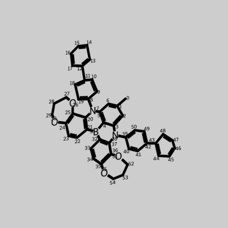 Cc1cc2c3c(c1)N(c1ccc(-c4ccccc4)cc1)c1c(ccc4c1OCCCO4)B3c1ccc3c(c1N2c1ccc(-c2ccccc2)cc1)OCCCO3